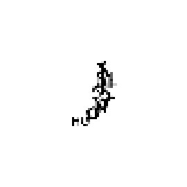 CC(C)c1cnc(NC2CCOCC2C[C@@H](C)c2cnc(N3CCC(O)CC3)nc2)nc1